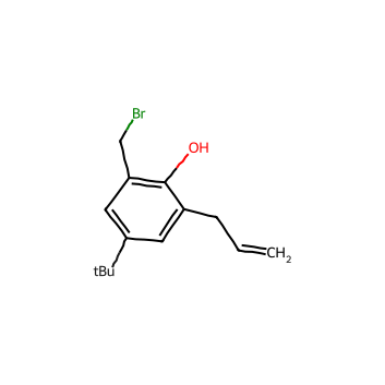 C=CCc1cc(C(C)(C)C)cc(CBr)c1O